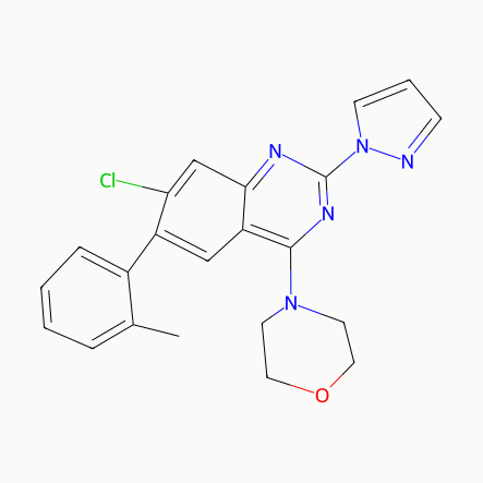 Cc1ccccc1-c1cc2c(N3CCOCC3)nc(-n3cccn3)nc2cc1Cl